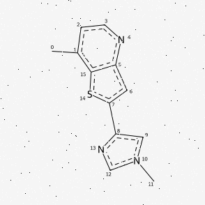 Cc1ccnc2cc(-c3cn(C)cn3)sc12